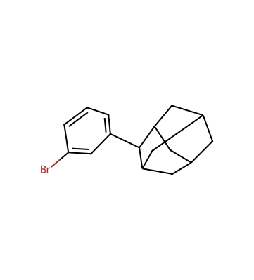 Brc1cccc(C2C3CC4CC(C3)CC2C4)c1